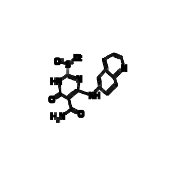 CC[S+]([O-])c1nc(Nc2ccc3ncccc3c2)c(C(N)=O)c(=O)[nH]1